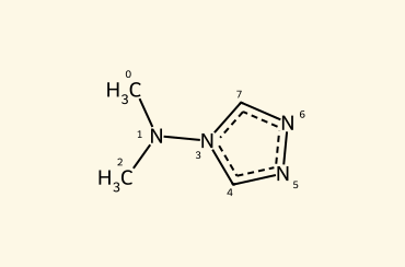 CN(C)n1cnnc1